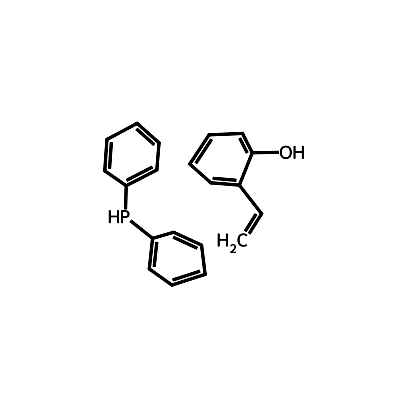 C=Cc1ccccc1O.c1ccc(Pc2ccccc2)cc1